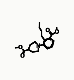 CCCCc1c(C(=O)OC)cccc1N1CCC(C(=O)OC)CC1